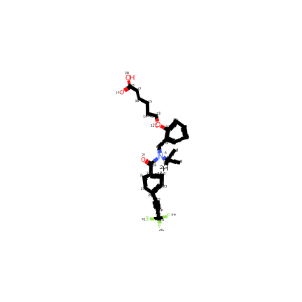 [2H]C(C)(C)N(Cc1ccccc1OCCCCCC(=O)O)C(=O)c1ccc(C#CC(F)(F)F)cc1